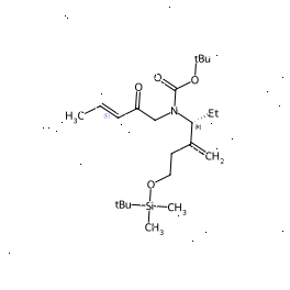 C=C(CCO[Si](C)(C)C(C)(C)C)[C@@H](CC)N(CC(=O)/C=C/C)C(=O)OC(C)(C)C